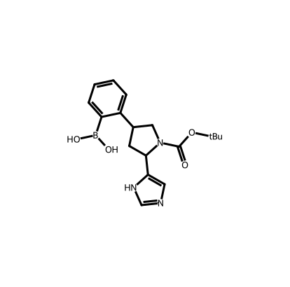 CC(C)(C)OC(=O)N1CC(c2ccccc2B(O)O)CC1c1cnc[nH]1